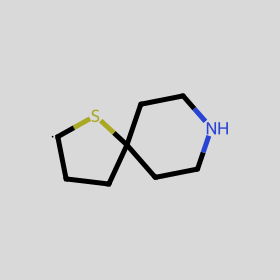 [CH]1CCC2(CCNCC2)S1